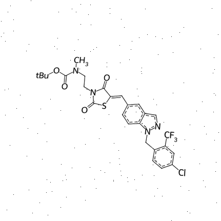 CN(CCN1C(=O)S/C(=C\c2ccc3c(cnn3Cc3ccc(Cl)cc3C(F)(F)F)c2)C1=O)C(=O)OC(C)(C)C